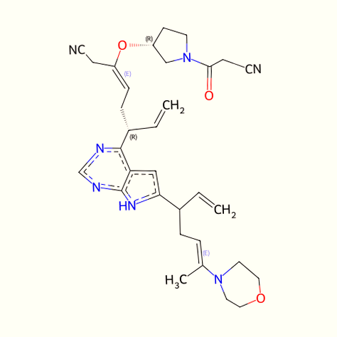 C=CC(C/C=C(\C)N1CCOCC1)c1cc2c([C@@H](C=C)C/C=C(\CC#N)O[C@@H]3CCN(C(=O)CC#N)C3)ncnc2[nH]1